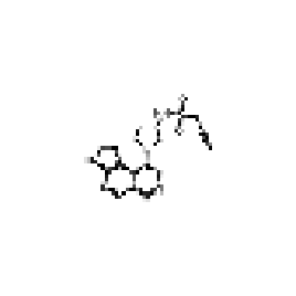 N#CCS(=O)(=O)NC1CCN(c2cnnc3nnc4[nH]ccc4c23)C1